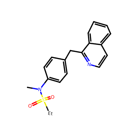 CCS(=O)(=O)N(C)c1ccc(Cc2nccc3ccccc23)cc1